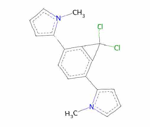 Cn1cccc1-c1ccc(-c2cccn2C)c2c1C2(Cl)Cl